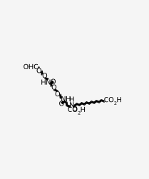 O=[C]COCCOCCNC(=O)COCCOCCNC(=O)CC[C@H](NC(=O)CCCCCCCCCCCCC(=O)O)C(=O)O